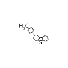 Cc1ccc(C2C=c3c(sc4ccccc34)=CC2)cc1